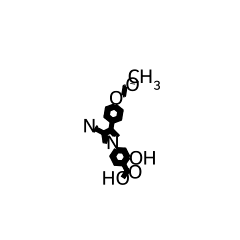 COCCOc1ccc(-c2cn(-c3ccc(C(=O)O)c(O)c3)cc2C#N)cc1